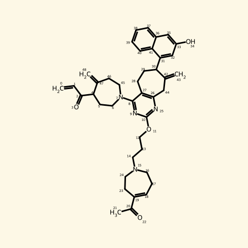 C=CC(=O)C1CCN(c2nc(OCCCN3CCC=C(C(C)=O)CC3)nc3c2CCC(c2cc(O)cc4ccccc24)C(=C)C3)CCC1=C